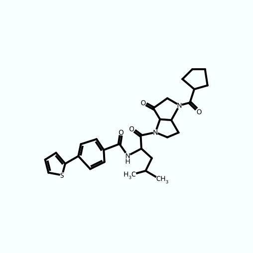 CC(C)CC(NC(=O)c1ccc(-c2cccs2)cc1)C(=O)N1CCC2C1C(=O)CN2C(=O)C1CCCC1